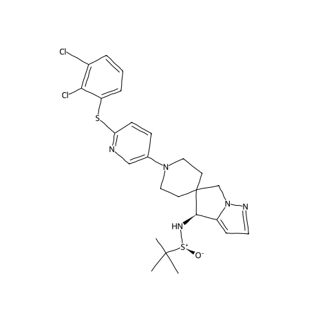 CC(C)(C)[S@+]([O-])N[C@@H]1c2ccnn2CC12CCN(c1ccc(Sc3cccc(Cl)c3Cl)nc1)CC2